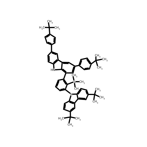 CC(C)(C)c1ccc(-c2ccc3[nH]c4c(-c5cccc(-n6c7ccc(C(C)(C)C)cc7c7cc(C(C)(C)C)ccc76)c5[Si](C)(C)C)cc(-c5ccc(C(C)(C)C)cc5)cc4c3c2)cc1